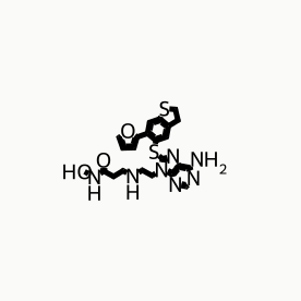 Nc1ncnc2c1nc(Sc1cc3c(cc1-c1ccco1)SCC3)n2CCNCCC(=O)NO